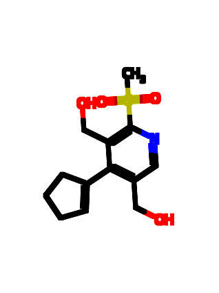 CS(=O)(=O)c1ncc(CO)c(C2=CCCC2)c1CO